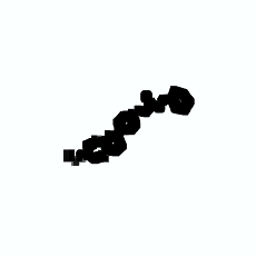 CP1C=Nc2ccc(-c3cc[n+](CCC(=O)OCc4ccccc4)cc3)nc2N=C1